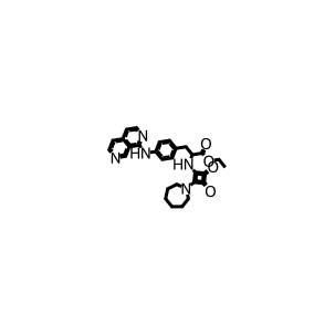 CCOC(=O)C(Cc1ccc(Nc2nccc3ccncc23)cc1)Nc1c(N2CCCCCC2)c(=O)c1=O